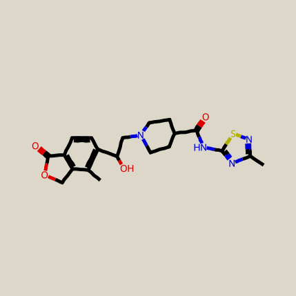 Cc1nsc(NC(=O)C2CCN(CC(O)c3ccc4c(c3C)COC4=O)CC2)n1